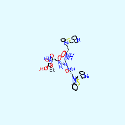 CCC1OC(n2cc(/C=C/C(=O)NCCN(CCNC(=O)CCCCN3/C(=C/c4ccnc5ccccc45)Sc4ccccc43)CCNC(=O)CCCCN3/C(=C/c4ccnc5ccccc45)Sc4ccccc43)c(=O)[nH]c2=O)CC1O